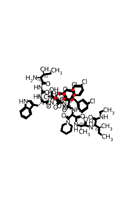 CCNC(=O)[C@@H](NC(=O)[C@H](C)NC(=O)C(NC(=O)[C@H](Cc1cccc(Cl)c1)NC(=O)[C@@](N)(NC(=O)[C@H](Cc1ccc(Cl)cc1)N(C)C(=O)[C@H](Cc1cccc(Cl)c1)NC(=O)[C@H](Cc1c[nH]c2ccccc12)NC(=O)NC(=O)[C@@H](N)[C@@H](C)CC)[C@@H](C)O)C(=O)N1CCCCC1)[C@@H](C)CC